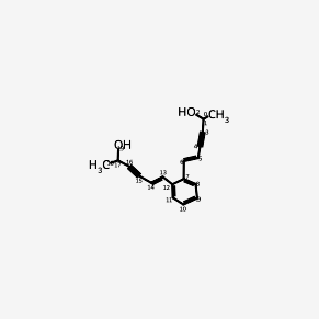 CC(O)C#CC=Cc1c[c]ccc1C=CC#CC(C)O